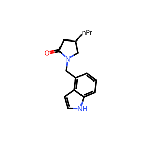 CCCC1CC(=O)N(Cc2cccc3[nH]ccc23)C1